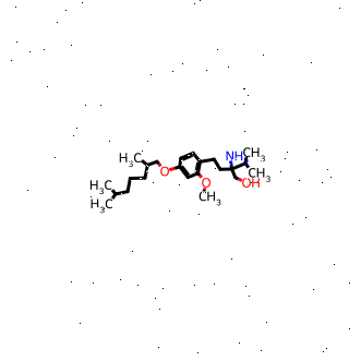 COc1cc(OCC(C)CCCC(C)C)ccc1CCC(N)(CO)C(C)C